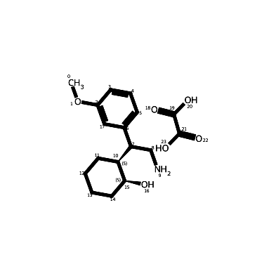 COc1cccc(C(CN)[C@@H]2CCCC[C@@H]2O)c1.O=C(O)C(=O)O